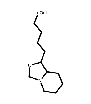 CCCCCCCCCCCCC1OCN2CCCCC12